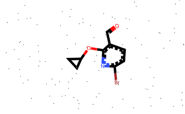 O=Cc1ccc(Br)nc1OC1CC1